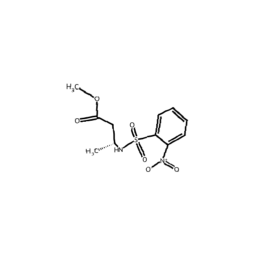 COC(=O)C[C@@H](C)NS(=O)(=O)c1ccccc1[N+](=O)[O-]